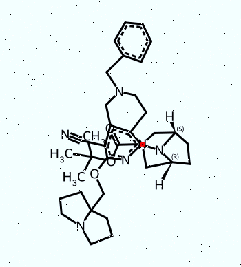 CC(C)(C)OC(=O)N1C[C@H]2CC[C@@H](C1)N2c1nc(OCC23CCCN2CCC3)c(C#N)c2c1CCN(Cc1ccccc1)C2